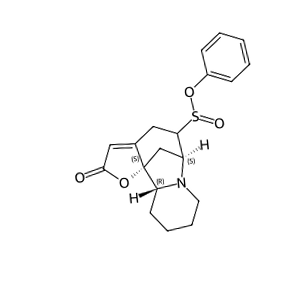 O=C1C=C2CC(S(=O)Oc3ccccc3)[C@@H]3C[C@@]2(O1)[C@H]1CCCCN31